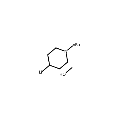 CO.[Li][CH]1CCN(CCCC)CC1